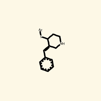 CC(=O)SC1CCNCC1=Cc1ccccc1